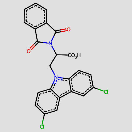 O=C(O)C(Cn1c2ccc(Cl)cc2c2cc(Cl)ccc21)N1C(=O)c2ccccc2C1=O